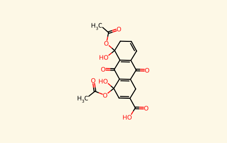 CC(=O)OC1(O)C=C(C(=O)O)CC2=C1C(=O)C1=C(C=CCC1(O)OC(C)=O)C2=O